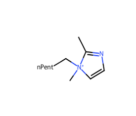 CCCCCC[N+]1(C)C=CN=C1C